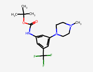 CN1CCN(c2cc(NC(=O)OC(C)(C)C)cc(C(F)(F)F)c2)CC1